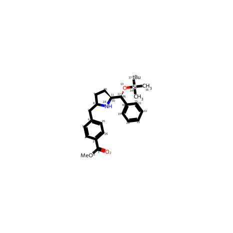 COC(=O)c1ccc(CC2CC[C@@H]([C@H](O[Si](C)(C)C(C)(C)C)c3ccccc3)N2)cc1